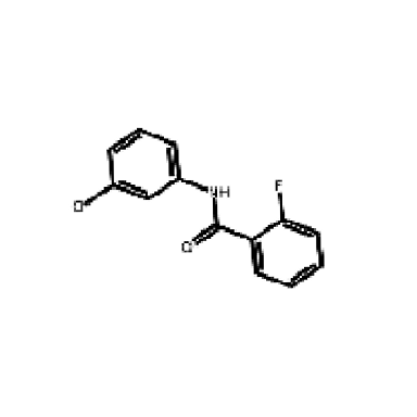 O=C(Nc1cccc(Cl)c1)c1ccccc1F